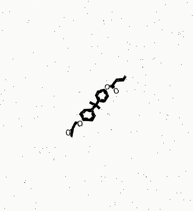 CC=CC(=O)Oc1ccc(C(C)(C)c2ccc(OCC3CO3)cc2)cc1